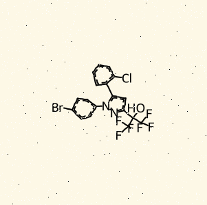 OC(c1cc(-c2ccccc2Cl)n(-c2ccc(Br)cc2)n1)(C(F)(F)F)C(F)(F)F